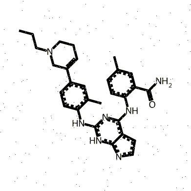 CCCN1CCC=C(c2ccc(Nc3nc(Nc4ccc(C)cc4C(N)=O)c4ccnc-4[nH]3)c(C)c2)C1